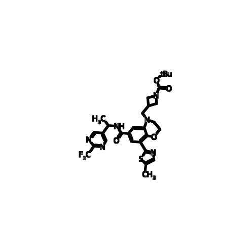 Cc1cnc(-c2cc(C(=O)NC(C)c3cnc(C(F)(F)F)nc3)cc3c2OCCN3CC2CN(C(=O)OC(C)(C)C)C2)s1